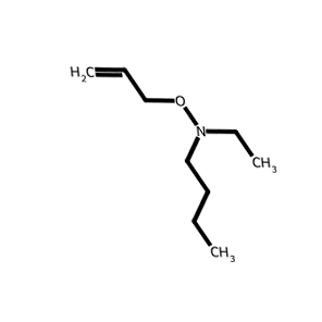 C=CCON(CC)CCCC